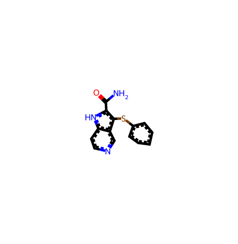 NC(=O)c1[nH]c2ccncc2c1Sc1ccccc1